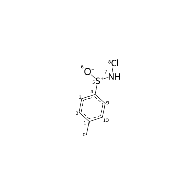 Cc1ccc([S+]([O-])NCl)cc1